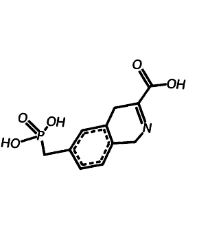 O=C(O)C1=NCc2ccc(CP(=O)(O)O)cc2C1